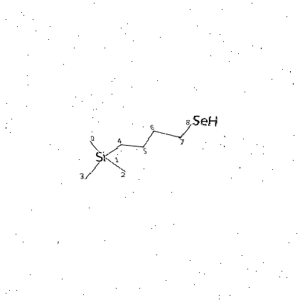 C[Si](C)(C)CCCC[SeH]